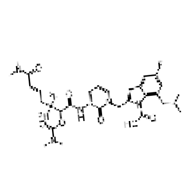 [2H]C([2H])(C/C=C/C(=O)N(C)C)C(OC(=O)N(C)C)C(=O)Nc1cccn(Cc2cc3cc(F)cc(CC(C)C)c3n2C(=O)O)c1=O